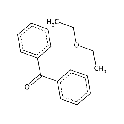 CCOCC.O=C(c1ccccc1)c1ccccc1